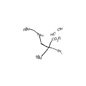 BC(CCCC)(CNCCCC)C(=O)O.Cl.Cl